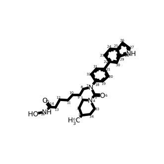 CC1CCN(C(=O)N(CCCCCCC(=O)NO)c2ccc(-c3ccc4cc[nH]c4c3)cc2)CC1